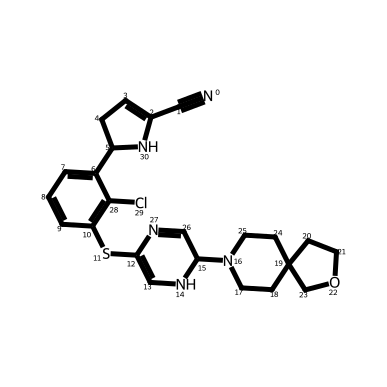 N#CC1=CCC(c2cccc(SC3=CNC(N4CCC5(CCOC5)CC4)C=N3)c2Cl)N1